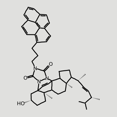 CC(C)[C@@H](C)/C=C/[C@@H](C)C1CCC2C34C=CC5(C[C@@H](O)CC[C@]5(C)C3CC[C@]12C)n1c(=O)n(CCCc2ccc3ccc5cccc6ccc2c3c56)c(=O)n14